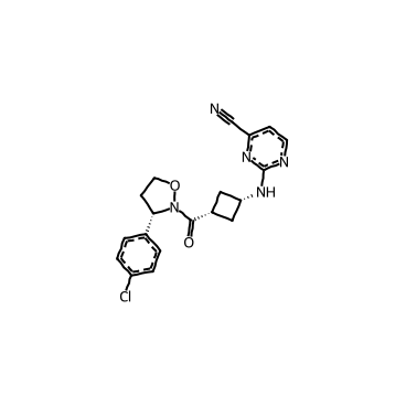 N#Cc1ccnc(N[C@H]2C[C@@H](C(=O)N3OCC[C@H]3c3ccc(Cl)cc3)C2)n1